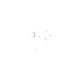 CN(CCNc1nc2nccc(/C(=N\O)Nc3ccc(F)c(Cl)c3)c2[nH]1)C(=O)O